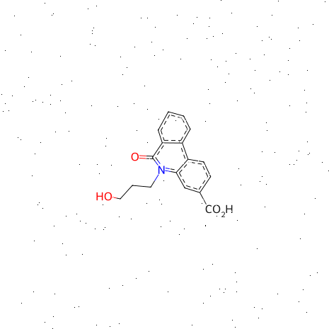 O=C(O)c1ccc2c3ccccc3c(=O)n(CCCO)c2c1